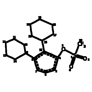 O=S(=O)(Oc1cccc(C2CCCCC2)c1C1CCCCC1)C(F)(F)F